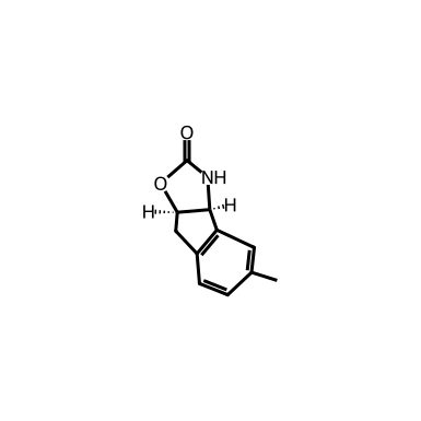 Cc1ccc2c(c1)[C@@H]1NC(=O)O[C@@H]1C2